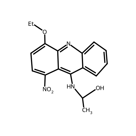 CCOc1ccc([N+](=O)[O-])c2c(NC(C)O)c3ccccc3nc12